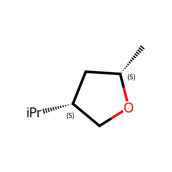 CC(C)[C@H]1CO[C@@H](C)C1